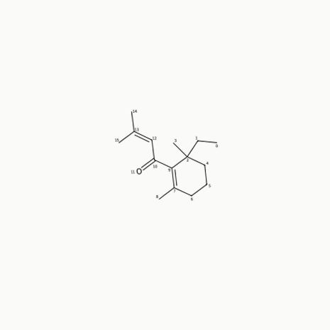 CCC1(C)CCCC(C)=C1C(=O)C=C(C)C